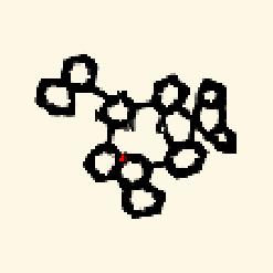 c1ccc(-c2nc(-c3cccc4c3Oc3c(-c5cncc6ccccc56)cccc3C43c4ccccc4-c4ccccc43)nc(-c3cccc4ccccc34)n2)cc1